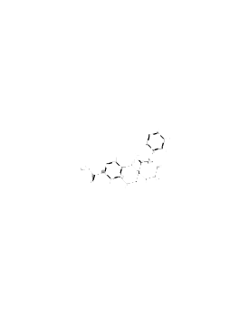 O=C(NO)c1ccc2c(c1)CCC1(CCCN(c3ccccc3)C1=O)C2